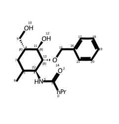 CCCC(=O)N[C@H]1C(C)C[C@H](CO)[C@@H](O)[C@@H]1OCc1ccccc1